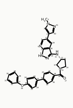 Cn1cc(-c2cnc3[nH]nc(N[C@@H]4CCN(C(=O)c5ccc(-c6ccc(Oc7ccccc7)cc6)cc5)C4)c3c2)cn1